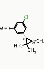 COc1cc(Cl)cc([C@@H]2[C@@H](C)C2(C)C)c1